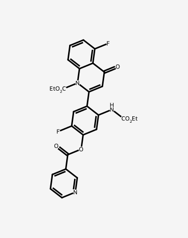 CCOC(=O)Nc1cc(OC(=O)c2cccnc2)c(F)cc1-c1cc(=O)c2c(F)cccc2n1C(=O)OCC